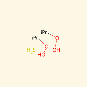 CC(C)OO.CC(C)OO.S